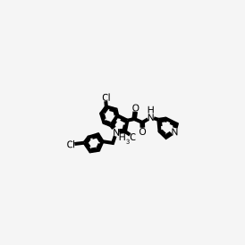 Cc1c(C(=O)C(=O)Nc2ccncc2)c2cc(Cl)ccc2n1Cc1ccc(Cl)cc1